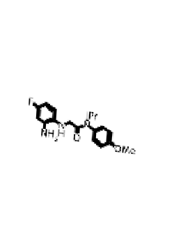 COc1ccc(N(C(=O)CNc2ccc(F)cc2N)C(C)C)cc1